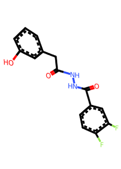 O=C(Cc1cccc(O)c1)NNC(=O)c1ccc(F)c(F)c1